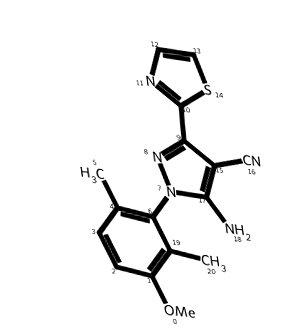 COc1ccc(C)c(-n2nc(-c3nccs3)c(C#N)c2N)c1C